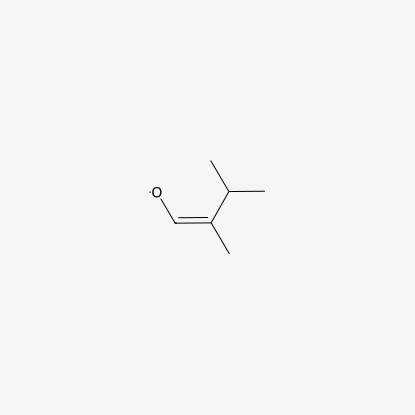 CC(=C[O])C(C)C